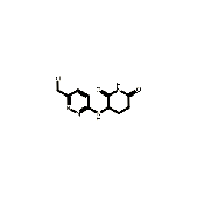 O=C1CCC(Nc2ccc(CCl)nn2)C(=O)N1